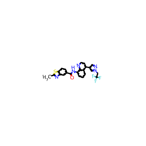 Cc1nc2cc(C(=O)Nc3cccc4c(-c5cnn(CC(F)(F)F)c5)ccnc34)ccc2s1